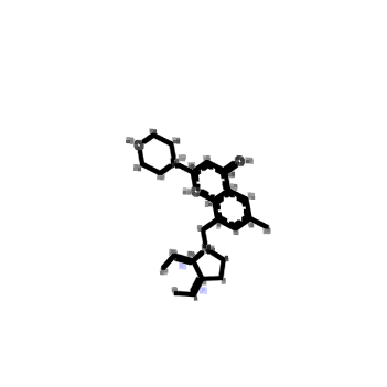 C/C=C1/CCN(Cc2cc(C)cc3c(=O)cc(N4CCOCC4)oc23)/C1=C/C